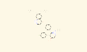 COc1cc2nccc(Oc3ccc(-c4c(-c5ccc(F)cc5)c(=O)ccn4C)cc3F)c2cc1OC